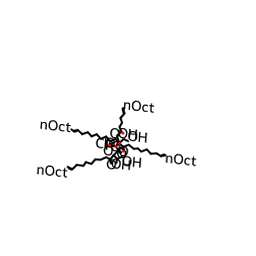 CCCCCCCCC=CCCCCCCCC(=O)C(OP(=O)(Cl)OC(C(=O)CCCCCCCC=CCCCCCCCC)(C(=O)CCCCCCCC=CCCCCCCCC)C(O)CO)(C(=O)CCCCCCCC=CCCCCCCCC)C(O)CO